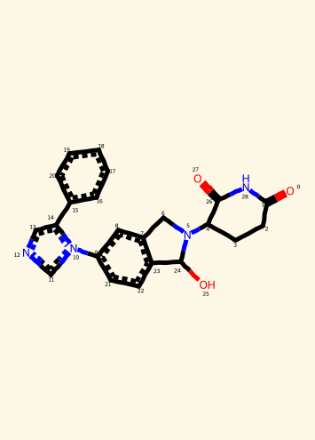 O=C1CCC(N2Cc3cc(-n4cncc4-c4ccccc4)ccc3C2O)C(=O)N1